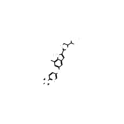 CCC(C(=O)O)C1CN=C(c2cc3cc(Oc4ccc(S(C)(=O)=O)nc4)cc(C)c3[nH]2)S1